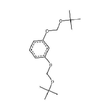 CC(C)(C)OCOc1cccc(OCOC(C)(C)C)c1